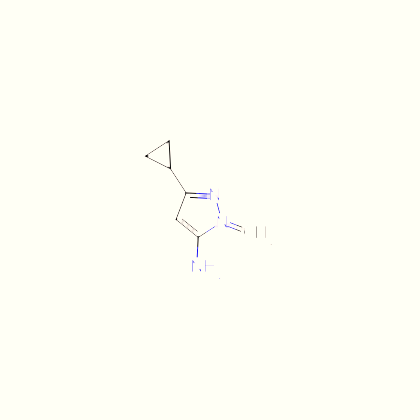 C=[N+]1N=C(C2CC2)C=C1N